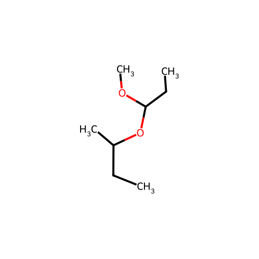 CCC(C)OC(CC)OC